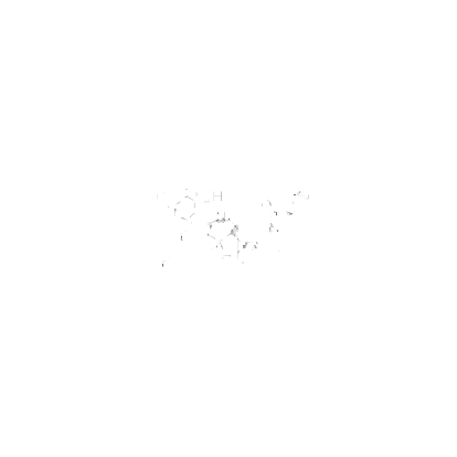 CCOCOc1cc(C(F)(F)F)cc(C)c1-c1cc2ccn([C@@H]3CCCN(C(=O)OC(C)(C)C)C3)c2nn1